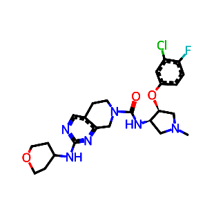 CN1C[C@H](Oc2ccc(F)c(Cl)c2)[C@H](NC(=O)N2CCc3cnc(NC4CCOCC4)nc3C2)C1